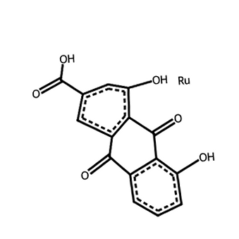 O=C(O)c1cc(O)c2c(c1)C(=O)c1cccc(O)c1C2=O.[Ru]